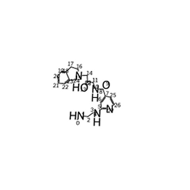 CNCCNc1cc(C(=O)NC[C@H](O)CN2CCc3ccccc3C2)ccn1